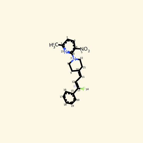 Cc1ccc([N+](=O)[O-])c(N2CCC(=C/C=C(\F)c3ccccc3)CC2)n1